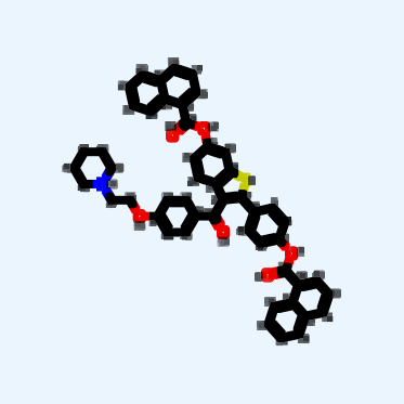 O=C(Oc1ccc(-c2sc3cc(OC(=O)c4cccc5ccccc45)ccc3c2C(=O)c2ccc(OCCN3CCCCC3)cc2)cc1)c1cccc2ccccc12